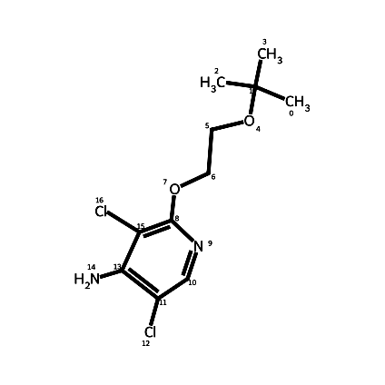 CC(C)(C)OCCOc1ncc(Cl)c(N)c1Cl